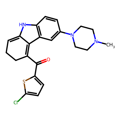 CN1CCN(c2ccc3[nH]c4c(c3c2)=C(C(=O)c2ccc(Cl)s2)CCC=4)CC1